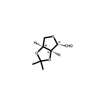 CC1(C)O[C@H]2[C@H](CS[C@@H]2C=O)O1